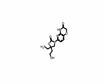 NCC1(CCO)CN(c2ccc3c(n2)NC(=O)CO3)C(=O)O1